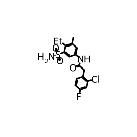 CCc1c(C)cc(NC(=O)Cc2ccc(F)cc2Cl)cc1S(N)(=O)=O